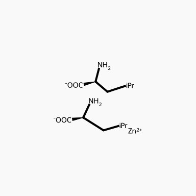 CC(C)C[C@H](N)C(=O)[O-].CC(C)C[C@H](N)C(=O)[O-].[Zn+2]